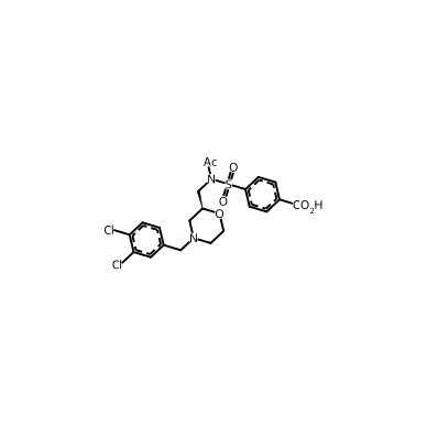 CC(=O)N(C[C@@H]1CN(Cc2ccc(Cl)c(Cl)c2)CCO1)S(=O)(=O)c1ccc(C(=O)O)cc1